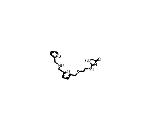 O=C1CNC(NCCSCc2ccc(CNCc3ccco3)o2)=N1